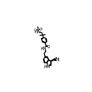 CC(C)(CNS(C)(=O)=O)c1ccc(C(=O)NCCc2ccc3[nH]cc(C#N)c3c2)cc1